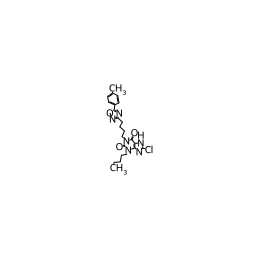 CCCCCn1c(=O)n(CCCCc2noc(-c3ccc(C)cc3)n2)c(=O)c2[nH]c(Cl)nc21